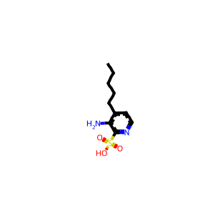 CCCCCc1ccnc(S(=O)(=O)O)c1N